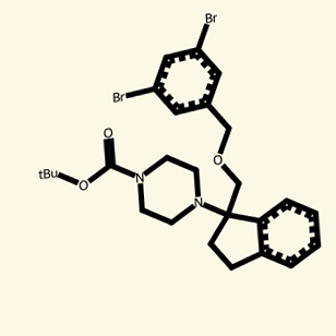 CC(C)(C)OC(=O)N1CCN(C2(COCc3cc(Br)cc(Br)c3)CCc3ccccc32)CC1